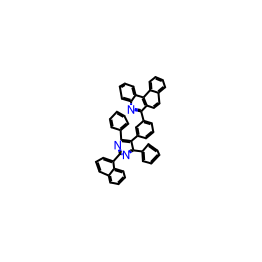 c1ccc(-c2nc(-c3cccc4ccccc34)nc(-c3ccccc3)c2-c2cccc(-c3nc4ccccc4c4c3ccc3ccccc34)c2)cc1